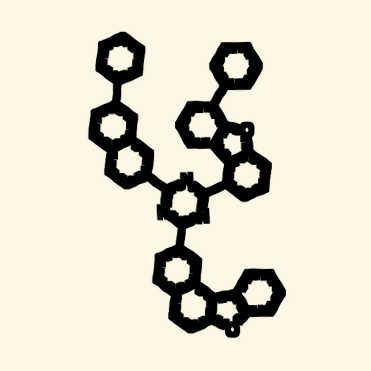 c1ccc(-c2ccc3ccc(-c4nc(-c5ccc6ccc7oc8ccccc8c7c6c5)nc(-c5cccc6oc7c(-c8ccccc8)cccc7c56)n4)cc3c2)cc1